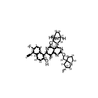 C#Cc1c(F)ccc2c(-c3nc(Cl)c4c(N5C[C@H]6CC[C@@H](C5)N6)nc(OC[C@@]56CCCN5C[C@H](F)C6)nc4c3F)c(O)ccc12